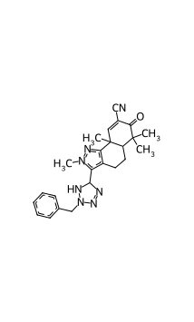 Cn1nc2c(c1C1N=NN(Cc3ccccc3)N1)CCC1C(C)(C)C(=O)C(C#N)=CC21C